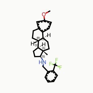 COc1ccc2c(c1)CC[C@@H]1[C@@H]2CC[C@]2(C)[C@@H](NCc3ccccc3C(F)(F)F)CC[C@@H]12